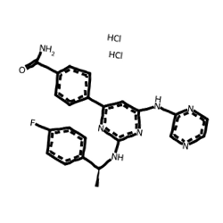 C[C@H](Nc1nc(Nc2cnccn2)cc(-c2ccc(C(N)=O)cc2)n1)c1ccc(F)cc1.Cl.Cl